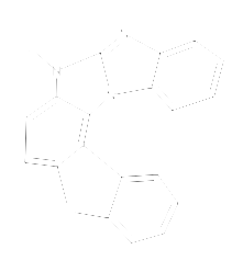 Cn1c2ccc3sc4ccccc4c3c2n2c3ccccc3nc12